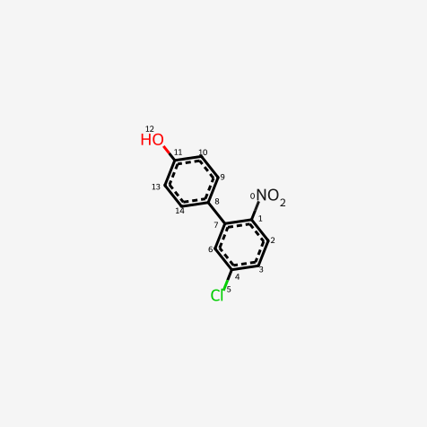 O=[N+]([O-])c1ccc(Cl)cc1-c1ccc(O)cc1